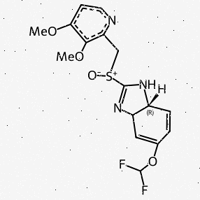 COc1ccnc(C[S+]([O-])C2=NC3C=C(OC(F)F)C=C[C@H]3N2)c1OC